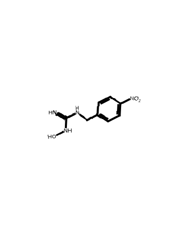 N=C(NO)NCc1ccc([N+](=O)[O-])cc1